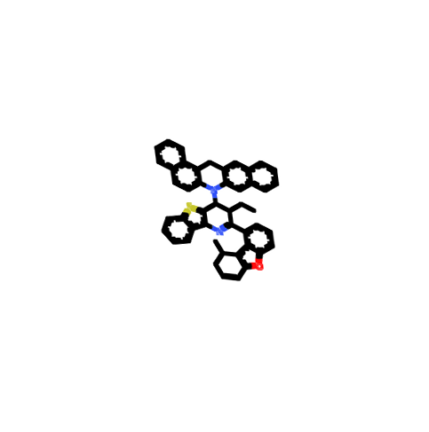 CCC1C(c2cccc3oc4c(c23)C(C)CC=C4)=Nc2c(sc3ccccc23)C1N1c2cc3ccccc3cc2Cc2c1ccc1ccccc21